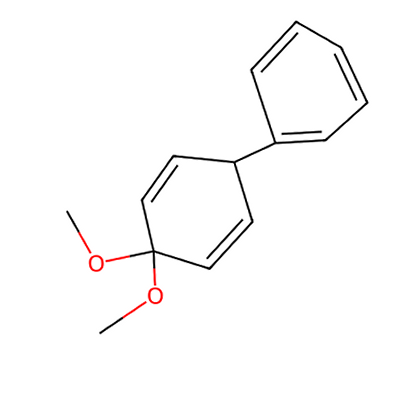 COC1(OC)C=CC(c2ccccc2)C=C1